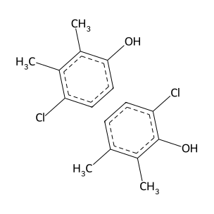 Cc1c(O)ccc(Cl)c1C.Cc1ccc(Cl)c(O)c1C